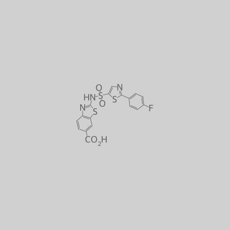 O=C(O)c1ccc2nc(NS(=O)(=O)c3cnc(-c4ccc(F)cc4)s3)sc2c1